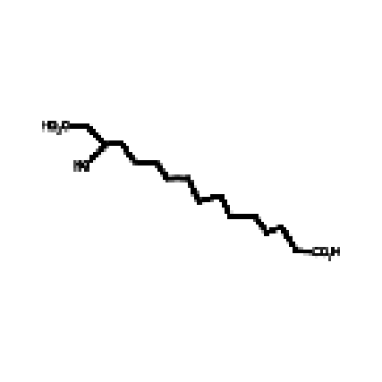 O=C(O)CCCCCCCCCCCCC(O)CC(=O)O